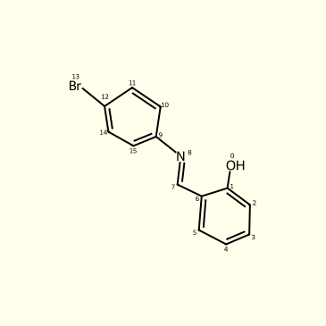 Oc1ccccc1C=Nc1ccc(Br)cc1